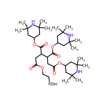 CCCCCCCCCCCCOC(=O)CC(C(=O)OC1CC(C)(C)NC(C)(C)C1)C(CC(=O)OC1CC(C)(C)NC(C)(C)C1)C(=O)OC1CC(C)(C)NC(C)(C)C1